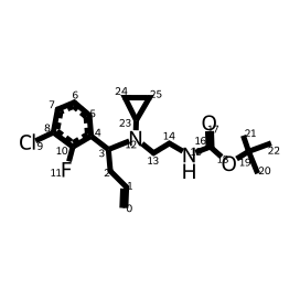 C=CCC(c1cccc(Cl)c1F)N(CCNC(=O)OC(C)(C)C)C1CC1